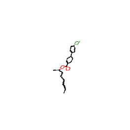 CCCCCCC(C)OC(=O)C1=CCC(c2ccc(Cl)cc2)CC1